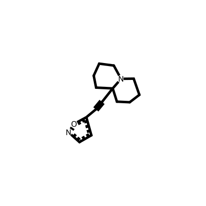 C(#CC12CCCCN1CCCC2)c1ccno1